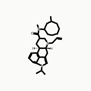 C=CCN1CC(C(=O)N(C)C2CCCCCC(C)C2)C[C@@H]2c3cccc4c3c(cn4C(C)C)C[C@H]21